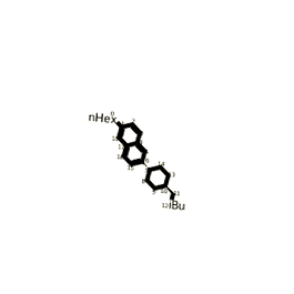 CCCCCCc1ccc2cc([C@H]3CC[C@H](CC(C)CC)CC3)ccc2c1